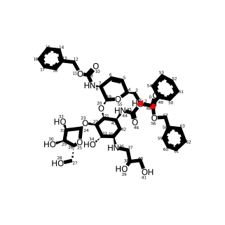 O=C(NC[C@@H]1C=C[C@@H](NC(=O)OCc2ccccc2)[C@@H](O[C@H]2[C@H](O[C@@H]3O[C@H](CO)[C@@H](O)[C@H]3O)[C@@H](O)[C@H](NCC(O)CO)C[C@@H]2NC(=O)OCc2ccccc2)O1)OCc1ccccc1